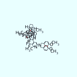 COc1ccc(CN(Cc2ccc(OC)cc2)c2cc(-c3nc4c5c(nc(SC)nc5c3F)N3C[C@H]5CC[C@@H]([C@H]3[C@H](C)O4)N5C(=O)OC(C)(C)C)c(C(F)(F)F)c(C)n2)cc1